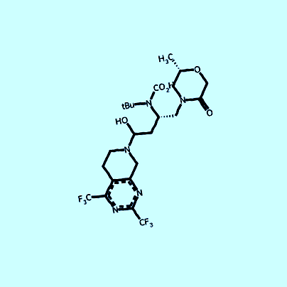 C[C@H]1CN(C[C@H](CC(O)N2CCc3c(nc(C(F)(F)F)nc3C(F)(F)F)C2)N(C(=O)O)C(C)(C)C)C(=O)CO1